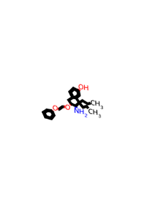 CCCC1(CCC)c2cc(O)ccc2CC(OCCOc2ccccc2)C1N